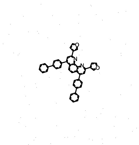 c1ccc(-c2ccc(-c3cc(-c4ccoc4)nc4c3ccc3c(-c5ccc(-c6ccccc6)cc5)cc(-c5ccoc5)nc34)cc2)cc1